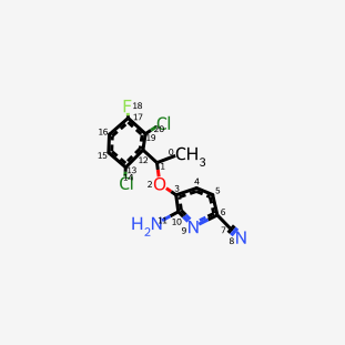 CC(Oc1ccc(C#N)nc1N)c1c(Cl)ccc(F)c1Cl